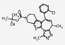 Cc1nnc2n1-c1sc3c(c1C(c1ccccc1Cl)=NC2C)CCN(C(=O)OC(C)(C)C#N)C3